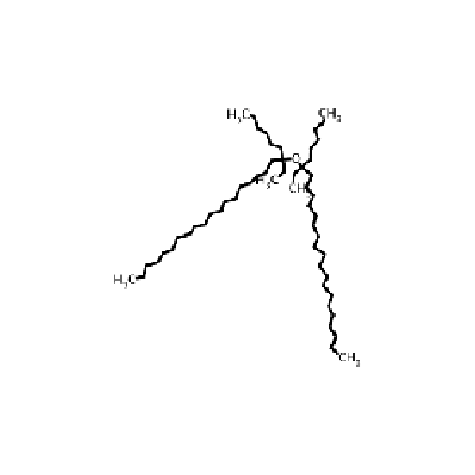 CCCCCCCCCCCCCCCCCCCC(CC)(CCCCCC)OC(CC)(CCCCCC)CCCCCCCCCCCCCCCCCCC